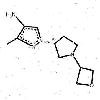 Cc1nn([C@@H]2CCN(C3COC3)C2)cc1N